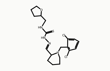 S=C(NCC1CCCO1)NN=CC1CCCCN1Cc1c(Cl)cccc1Cl